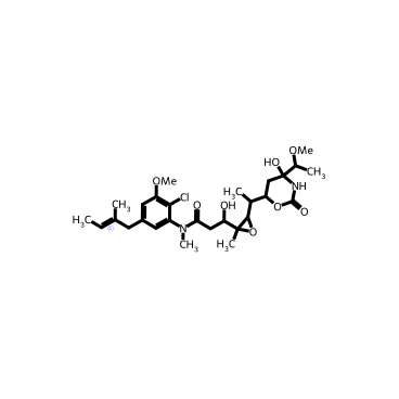 C/C=C(\C)Cc1cc(OC)c(Cl)c(N(C)C(=O)CC(O)C2(C)OC2C(C)C2CC(O)(C(C)OC)NC(=O)O2)c1